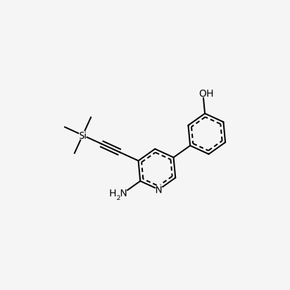 C[Si](C)(C)C#Cc1cc(-c2cccc(O)c2)cnc1N